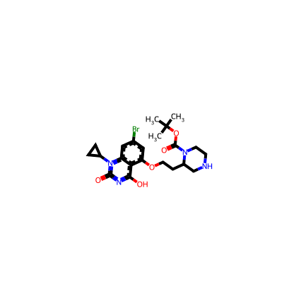 CC(C)(C)OC(=O)N1CCNCC1CCOc1cc(Br)cc2c1c(O)nc(=O)n2C1CC1